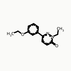 CCOc1cccc(-c2ccc(=O)n(CC)n2)c1